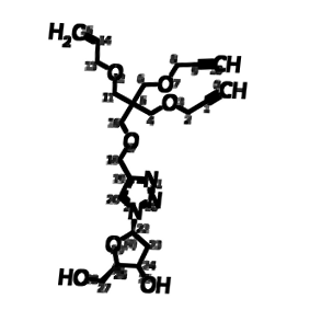 C#CCOCC(COCC#C)(COCC=C)COCc1cn([C@H]2CC(O)[C@@H](CO)O2)nn1